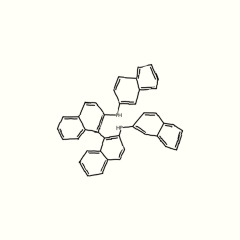 c1ccc2cc(Pc3ccc4ccccc4c3-c3c(Pc4ccc5ccccc5c4)ccc4ccccc34)ccc2c1